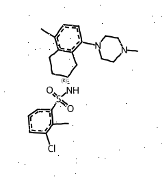 Cc1ccc(N2CCN(C)CC2)c2c1CC[C@@H](NS(=O)(=O)c1cccc(Cl)c1C)C2